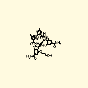 CCn1nc(C)cc1C(=O)Nc1nc2cc(C(N)=O)cc(OC)c2n1CC=CCn1c(NC(=O)c2cc(C)nn2CC(=O)O)nc2cc(C(N)=O)cc(OCCCO)c21